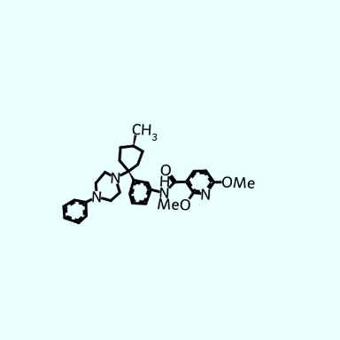 COc1ccc(C(=O)Nc2cccc([C@]3(N4CCN(c5ccccc5)CC4)CC[C@H](C)CC3)c2)c(OC)n1